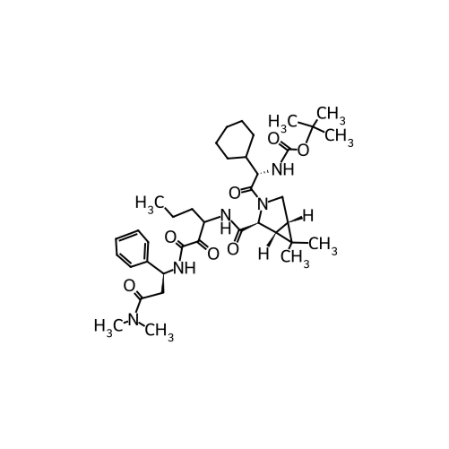 CCCC(NC(=O)[C@@H]1[C@@H]2[C@H](CN1C(=O)[C@@H](NC(=O)OC(C)(C)C)C1CCCCC1)C2(C)C)C(=O)C(=O)N[C@@H](CC(=O)N(C)C)c1ccccc1